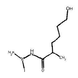 CC(CCCCO)C(=O)NB(P)I